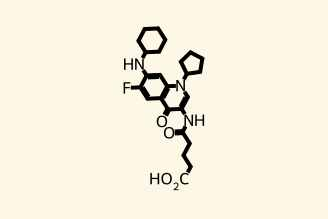 O=C(O)CCCC(=O)Nc1cn(C2CCCC2)c2cc(NC3CCCCC3)c(F)cc2c1=O